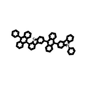 c1ccc(-c2c3ccccc3c(-c3cccc4c3sc3ccc(-c5c6ccccc6c(-c6ccc7c(c6)c6ccccc6n7-c6ccccc6)c6ccccc56)cc34)c3ccccc23)cc1